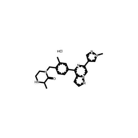 Cc1cc(-c2nc(-c3cnn(C)c3)cn3nccc23)ccc1CN1CCNC(C)C1=O.Cl